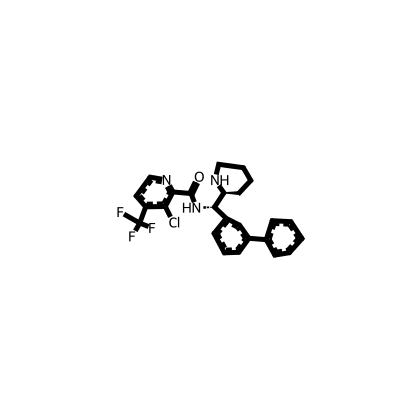 O=C(N[C@@H](c1cccc(-c2ccccc2)c1)[C@@H]1CCCCN1)c1nccc(C(F)(F)F)c1Cl